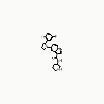 O=C(NC1CCCNC1)c1cnn2ccc(N3CCCC3c3cc(F)ccc3F)cc12